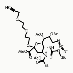 C#CCOCCOCCO[C@@]1(C(=O)OC)O[C@@H]([C@H](OC(C)=O)[C@@H](CN=[N+]=[N-])OC(C)=O)[C@H](NC(=O)OC(C)(C)C)[C@@H](NC(=O)CC)[C@@H]1OC(C)=O